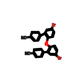 N#Cc1ccc(-c2cc(Br)ccc2Oc2ccc(Br)cc2-c2ccc(C#N)cc2)cc1